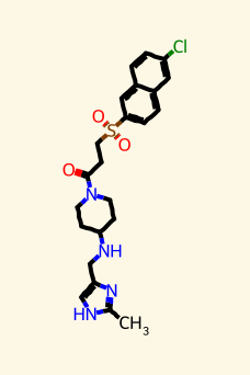 Cc1nc(CNC2CCN(C(=O)CCS(=O)(=O)c3ccc4cc(Cl)ccc4c3)CC2)c[nH]1